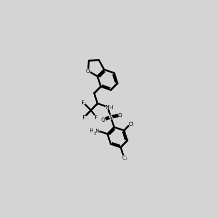 Nc1cc(Cl)cc(Cl)c1S(=O)(=O)NC(Cc1cccc2c1OCC2)C(F)(F)F